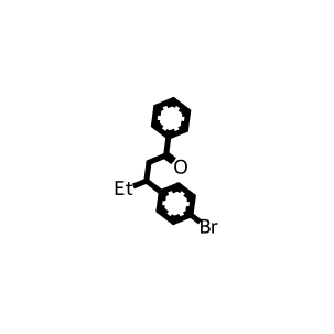 CCC(CC(=O)c1ccccc1)c1ccc(Br)cc1